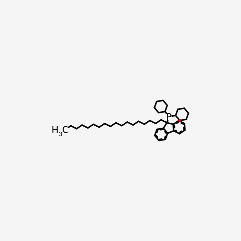 CCCCCCCCCCCCCCCCCCC1(P(C2CCCCC2)C2CCCCC2)c2ccccc2-c2ccccc21